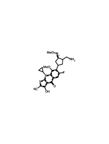 CO/N=C1\CC(c2c(F)cc3c(=O)c4c(O)c(C#N)sc4n(C4CC4)c3c2OC)CC1CN